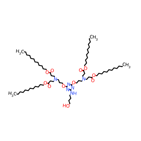 CCCCCCCCCCCCOC(=O)CCN(CCCOc1nc(NCCCCO)nc(OCCCN(CCC(=O)OCCCCCCCCCCCC)CCC(=O)OCCCCCCCCCCCC)n1)CCC(=O)OCCCCCCCCCCCC